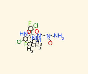 CC(C)(C)C[C@H]1N[C@@H](C(=O)NCCCN(CC=O)CCN)[C@H](c2ccc(F)c(Cl)c2)[C@@]12C(=O)Nc1cc(Cl)c(F)cc12